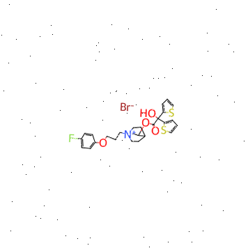 O=C(OC1C[N+]2(CCCOc3ccc(F)cc3)CCC1CC2)C(O)(c1cccs1)c1cccs1.[Br-]